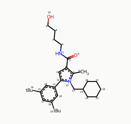 Cc1c(C(=O)NCCCCO)cc(-c2cc(C(C)(C)C)cc(C(C)(C)C)c2)n1CC1CCCCC1